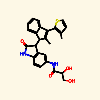 CC1=C(c2sccc2C)c2ccccc2C1C1C(=O)Nc2ccc(NC(=O)C(O)CO)cc21